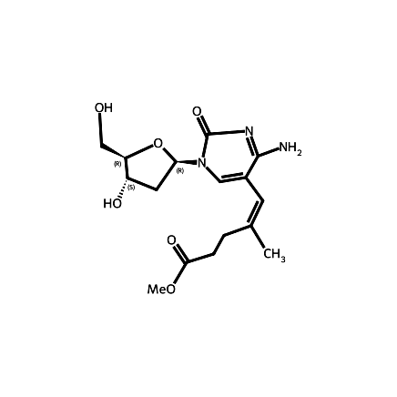 COC(=O)CCC(C)=Cc1cn([C@H]2C[C@H](O)[C@@H](CO)O2)c(=O)nc1N